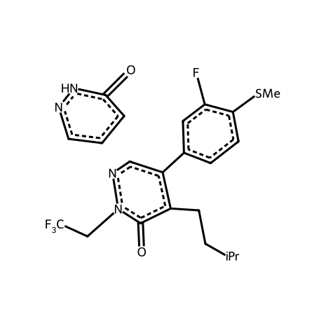 CSc1ccc(-c2cnn(CC(F)(F)F)c(=O)c2CCC(C)C)cc1F.O=c1cccn[nH]1